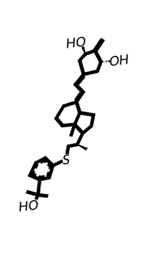 C=C1[C@H](O)CC(=C/C=C2\CCCC3(C)C2CCC3[C@@H](C)CSc2cccc(C(C)(C)O)c2)C[C@H]1O